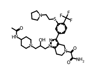 CC(=O)NC1CCN(CC(O)Cn2nc(-c3ccc(C(F)(F)F)c(SCCN4CCCC4)c3)c3c2CCN(C(=O)C(N)=O)C3)CC1